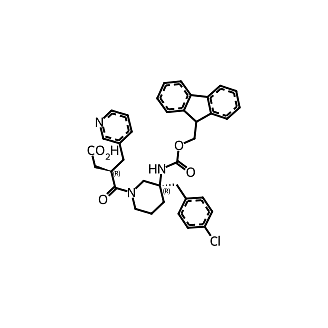 O=C(O)C[C@@H](Cc1cccnc1)C(=O)N1CCC[C@](Cc2ccc(Cl)cc2)(NC(=O)OCC2c3ccccc3-c3ccccc32)C1